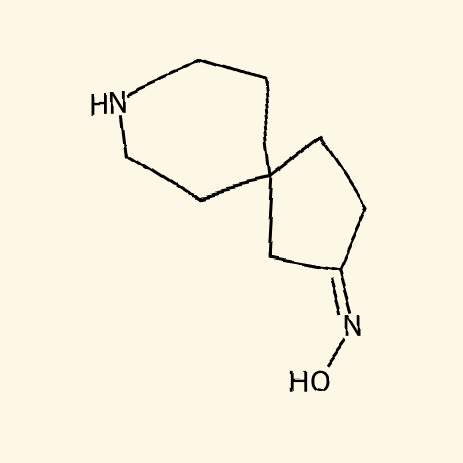 ON=C1CCC2(CCNCC2)C1